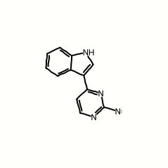 [N]c1nccc(-c2c[nH]c3ccccc23)n1